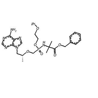 CC(C)OCCOP(=O)(CO[C@H](C)Cn1cnc2c(N)ncnc21)NC(C)(C)C(=O)OCc1ccccc1